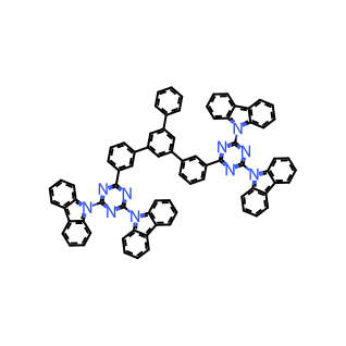 c1ccc(-c2cc(-c3cccc(-c4nc(-n5c6ccccc6c6ccccc65)nc(-n5c6ccccc6c6ccccc65)n4)c3)cc(-c3cccc(-c4nc(-n5c6ccccc6c6ccccc65)nc(-n5c6ccccc6c6ccccc65)n4)c3)c2)cc1